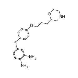 Nc1ccc(Sc2ccc(OCCCC3CNCCO3)cc2)cc1N